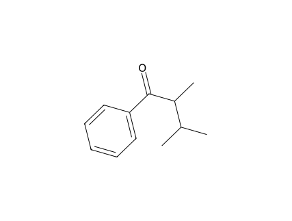 CC(C)C(C)C(=O)c1ccccc1